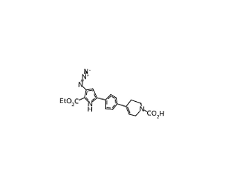 CCOC(=O)c1[nH]c(-c2ccc(C3=CCN(C(=O)O)CC3)cc2)cc1N=[N+]=[N-]